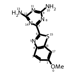 COc1ccc2nc(-c3nc(N)nc(N)n3)sc2c1